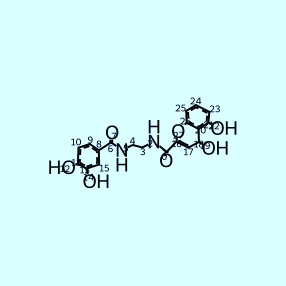 O=C(NCCNC(=O)c1ccc(O)c(O)c1)C1=CC(O)c2c(O)cccc2O1